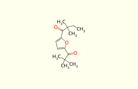 CCC(C)(C)C(=O)c1ccc(C(=O)C(C)(C)C)o1